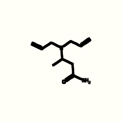 C=CCN(CC=C)C(C)CC(N)=O